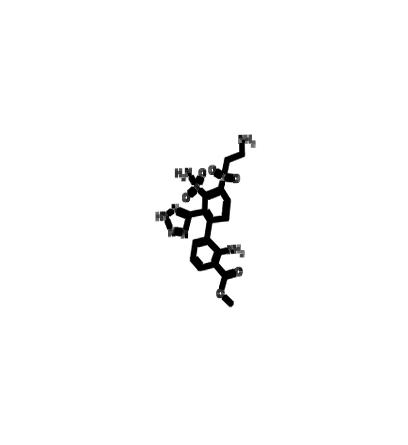 COC(=O)c1cccc(-c2ccc(S(=O)(=O)CCN)c(S(N)(=O)=O)c2-c2nn[nH]n2)c1N